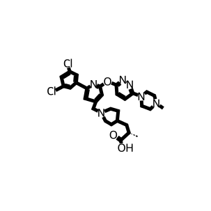 C[C@@H](CC1CCN(Cc2cc(Oc3ccc(N4CCN(C)CC4)nn3)nc(-c3cc(Cl)cc(Cl)c3)c2)CC1)C(=O)O